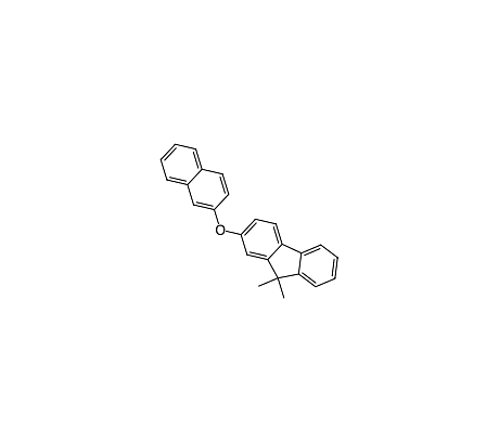 CC1(C)c2ccccc2-c2ccc(Oc3ccc4ccccc4c3)cc21